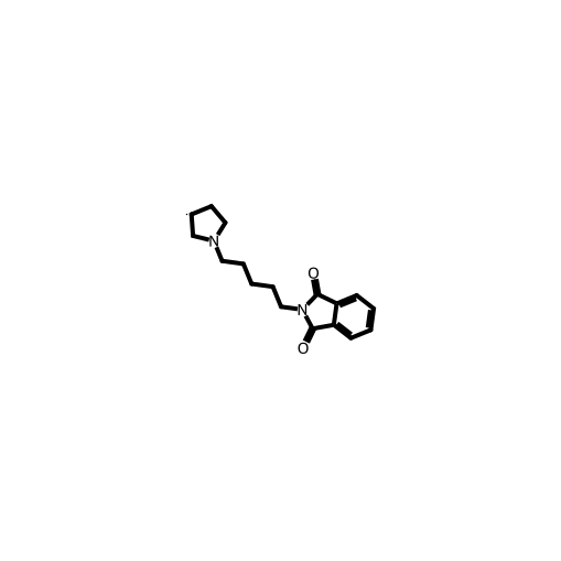 O=C1c2ccccc2C(=O)N1CCCCCN1C[CH]CC1